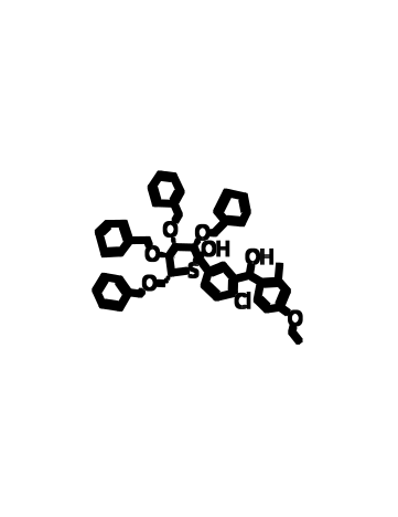 CCOc1ccc(C(O)c2cc(C3(O)S[C@H](COCc4ccccc4)[C@@H](OCc4ccccc4)[C@H](OCc4ccccc4)[C@H]3OCc3ccccc3)ccc2Cl)c(C)c1